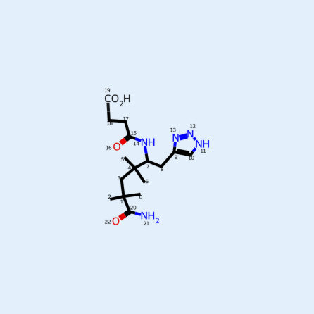 CC(C)(CC(C)(C)C(Cc1c[nH]nn1)NC(=O)CCC(=O)O)C(N)=O